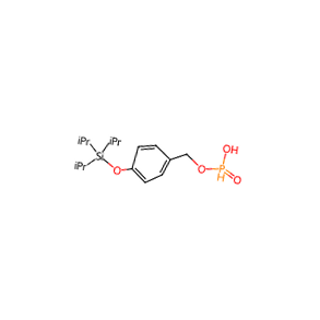 CC(C)[Si](Oc1ccc(CO[PH](=O)O)cc1)(C(C)C)C(C)C